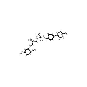 CC(C)(CNc1ccc(C2=NNC(=O)CC2)cc1)NCC(O)COc1cc(C#N)ccc1Cl